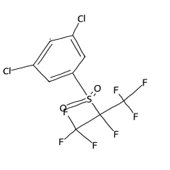 O=S(=O)(c1cc(Cl)[c]c(Cl)c1)C(F)(C(F)(F)F)C(F)(F)F